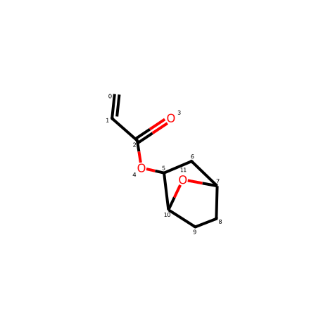 C=CC(=O)OC1CC2CCC1O2